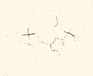 CCC(C)(C)c1cc(C(C)(C)C)cc(B2OC(C)(C)C(C)(C)O2)c1OCOC